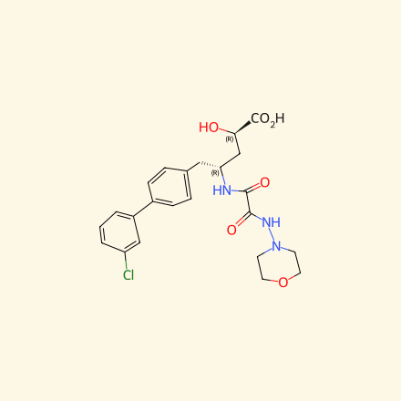 O=C(N[C@H](Cc1ccc(-c2cccc(Cl)c2)cc1)C[C@@H](O)C(=O)O)C(=O)NN1CCOCC1